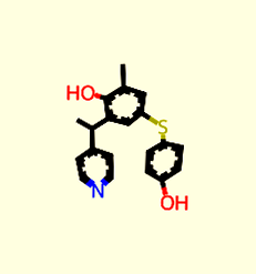 Cc1cc(Sc2ccc(O)cc2)cc(C(C)c2ccncc2)c1O